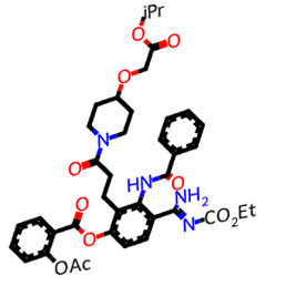 CCOC(=O)N=C(N)c1ccc(OC(=O)c2ccccc2OC(C)=O)c(CCC(=O)N2CCC(OCC(=O)OC(C)C)CC2)c1NC(=O)c1ccccc1